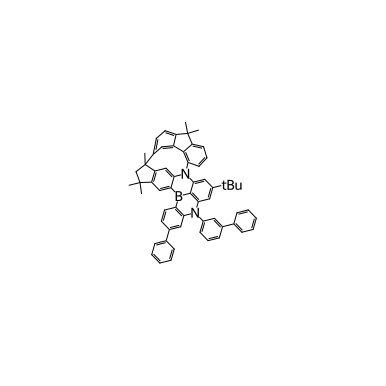 CC(C)(C)c1cc2c3c(c1)N1c4cc5c(cc4B3c3ccc(-c4ccccc4)cc3N2c2cccc(-c3ccccc3)c2)C(C)(C)CC5(C)c2ccc3c(c2)-c2c1cccc2C3(C)C